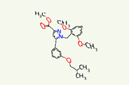 COC(=O)c1cc(-c2cccc(OCC(C)C)c2)n(Cc2c(OC)cccc2OC)n1